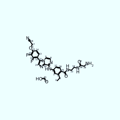 CCc1cc(Nc2nccn3c(-c4ccc(OCC#N)c(F)c4F)cnc23)ccc1C(=O)NCCNC(=O)CN.O=CO